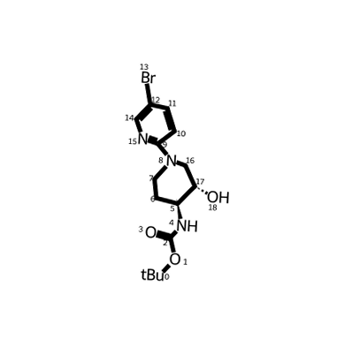 CC(C)(C)OC(=O)N[C@H]1CCN(c2ccc(Br)cn2)C[C@@H]1O